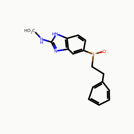 O=C(O)Nc1nc2cc([S+]([O-])CCc3ccccc3)ccc2[nH]1